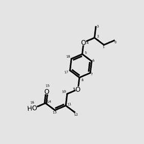 CCC(C)Oc1ccc(OC/C(C)=C\C(=O)O)cc1